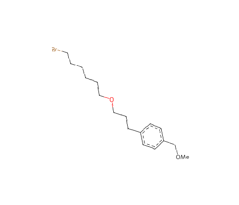 COCc1ccc(CCCOCCCCCCBr)cc1